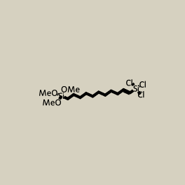 CO[Si](CCCCCCCCC/C=C/[Si](Cl)(Cl)Cl)(OC)OC